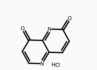 Cl.O=C1C=CC2=NC=CC(=O)C2=N1